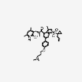 C=CCC1(S(=O)(=O)n2cc(C)c3c(C(=O)NCc4c(C)cc(C)[nH]c4=O)cc(-c4ccc(OCCCN(C)C)cc4)cc32)CC1